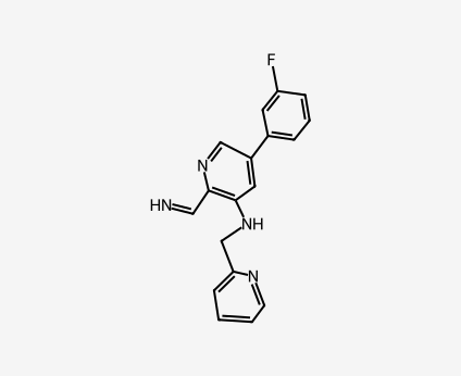 N=Cc1ncc(-c2cccc(F)c2)cc1NCc1ccccn1